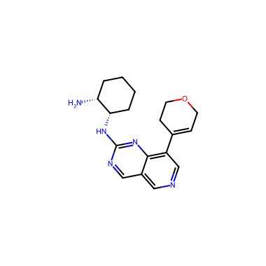 N[C@@H]1CCCC[C@@H]1Nc1ncc2cncc(C3=CCOCC3)c2n1